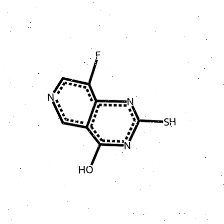 Oc1nc(S)nc2c(F)cncc12